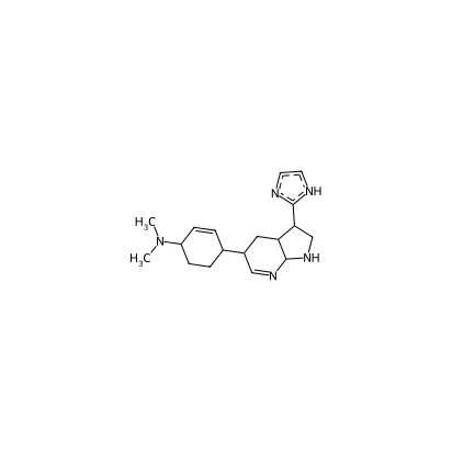 CN(C)C1C=CC(C2C=NC3NCC(c4ncc[nH]4)C3C2)CC1